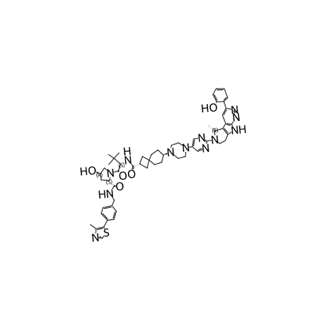 Cc1ncsc1-c1ccc(CNC(=O)[C@@H]2C[C@@H](O)CN2C(=O)[C@@H](NC(=O)[C@H]2CC3(CC[C@H](N4CCN(c5cnc(N6CCc7[nH]c8nnc(-c9ccccc9O)cc8c7[C@H]6C)nc5)CC4)CC3)C2)C(C)(C)C)cc1